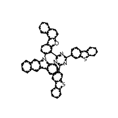 c1ccc2cc3c(cc2c1)c1ccccc1n3-c1ccc2c(oc3ccc4ccccc4c32)c1-c1nc(-c2ccc3c(c2)sc2ccccc23)nc(-c2ccc3c(c2)sc2ccccc23)n1